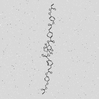 C=CC(=O)OCOc1ccc(OC(=O)/C=C/c2ccc(C(=O)O[C@H]3CO[C@H]4[C@@H]3OC[C@H]4OC(=O)c3ccc(/C=C/C(=O)Oc4ccc(OCOC(=O)C=C)cc4)cc3)cc2)cc1